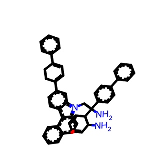 NC1C=CC=CC1C(N)(Cn1c2cc(C3=CC=C(c4ccccc4)CC3)ccc2c2c3ccccc3ccc21)c1ccc(-c2ccccc2)cc1